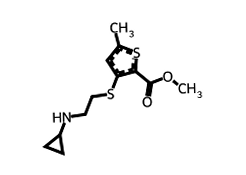 COC(=O)c1sc(C)cc1SCCNC1CC1